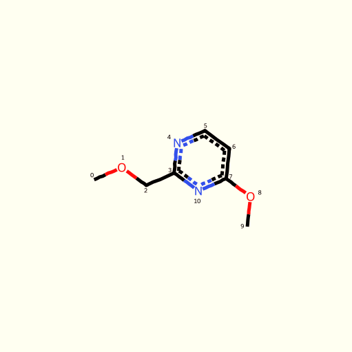 COCc1nccc(OC)n1